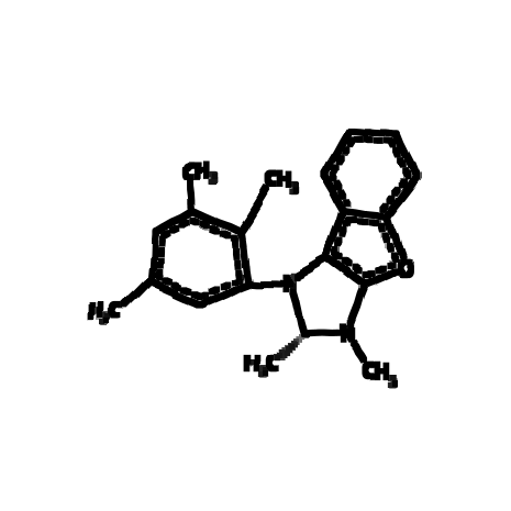 Cc1cc(C)c(C)c(N2c3c(oc4ccccc34)N(C)[C@@H]2C)c1